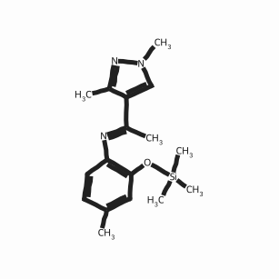 CC(=Nc1ccc(C)cc1O[Si](C)(C)C)c1cn(C)nc1C